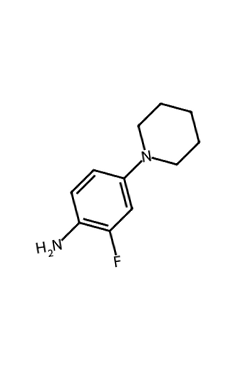 Nc1ccc(N2CCCCC2)cc1F